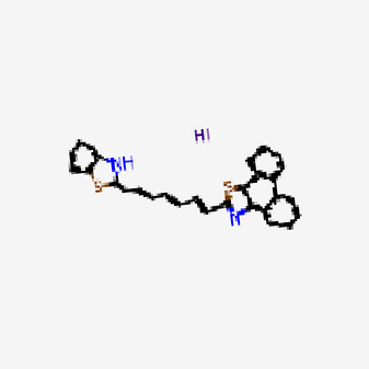 C(=CC=Cc1nc2c3ccccc3c3ccccc3c2s1)C=CC=C1Nc2ccccc2S1.I